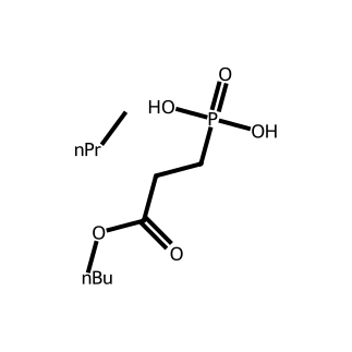 CCCC.CCCCOC(=O)CCP(=O)(O)O